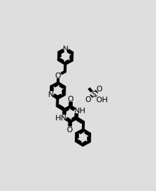 CS(=O)(=O)O.O=c1[nH]c(=Cc2ccc(OCc3ccncc3)cn2)c(=O)[nH]c1=Cc1ccccc1